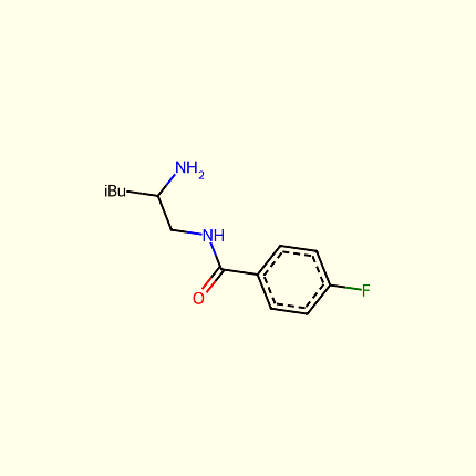 CCC(C)C(N)CNC(=O)c1ccc(F)cc1